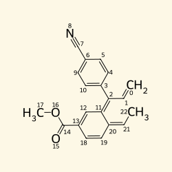 C=C/C(c1ccc(C#N)cc1)=c1/cc(C(=O)OC)cc/c1=C/C